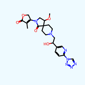 COC1CN(C2=C(C)C(=O)OC2)C(=O)C12CCN(CC(O)c1ccc(-n3cnnn3)nc1)CC2